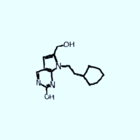 OCc1cc2cnc(O)nc2n1CCC1CCCCC1